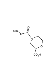 CCCCOC(=O)N1CCOC(C(=O)O)C1